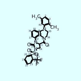 Cc1ccc(C)c(N2CCN(C(=O)C3CN(S(=O)(=O)c4ccccc4C(F)(F)F)C(=O)N3c3ccccc3)CC2)c1